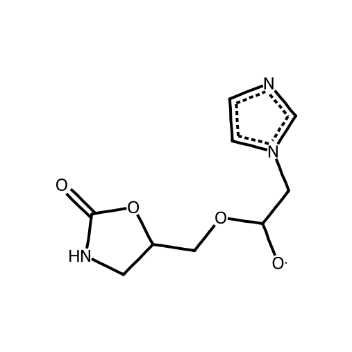 [O]C(Cn1ccnc1)OCC1CNC(=O)O1